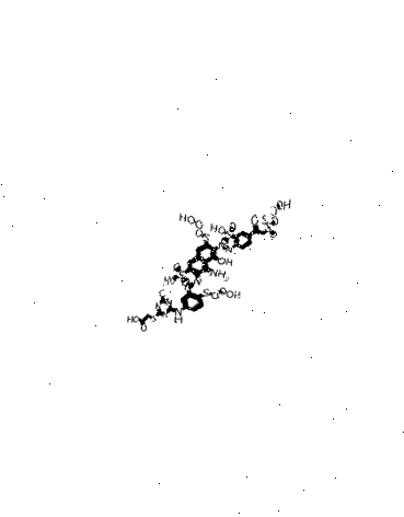 Nc1c(N=Nc2cc(Nc3nc(Cl)nc(SCC(=O)O)n3)ccc2SOOO)c(S(=O)(=O)O)cc2cc(SOOO)c(N=Nc3ccc(C(=O)CS(=O)(=S)OOO)cc3S(=O)(=O)O)c(O)c12